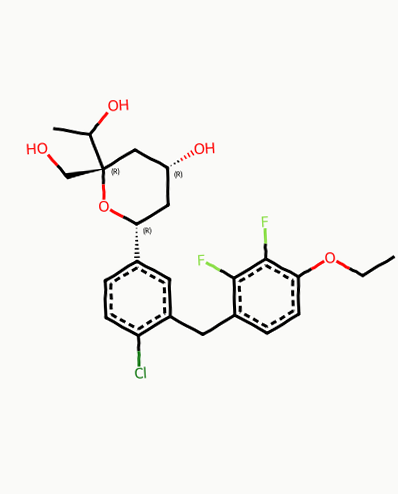 CCOc1ccc(Cc2cc([C@H]3C[C@@H](O)C[C@@](CO)(C(C)O)O3)ccc2Cl)c(F)c1F